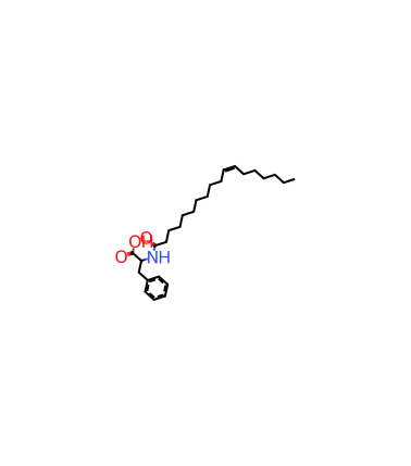 CCCCCC/C=C\CCCCCCCCCC(=O)NC(Cc1ccccc1)C(=O)O